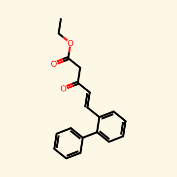 CCOC(=O)CC(=O)C=Cc1ccccc1-c1ccccc1